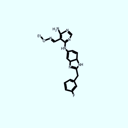 CCO/N=C/c1c(N)ncnc1NC1=CC2N=C(Cc3cccc(F)c3)NC2C=C1